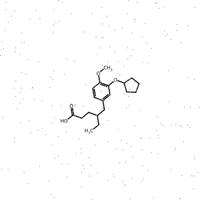 CCC(CCC(=O)O)Cc1ccc(OC)c(OC2CCCC2)c1